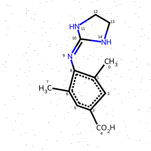 Cc1cc(C(=O)O)cc(C)c1N=C1NCCN1